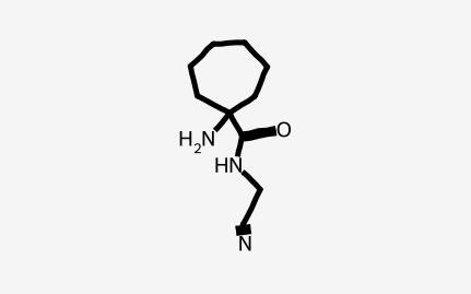 N#CCNC(=O)C1(N)CCCCCC1